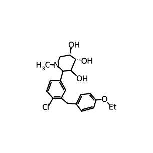 CCOc1ccc(Cc2cc(C3C(O)[C@@H](O)[C@H](O)CN3C)ccc2Cl)cc1